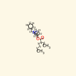 CCCCC(CC)C(=O)OC1C[N+]2(Cc3ccccc3)CCC1CC2